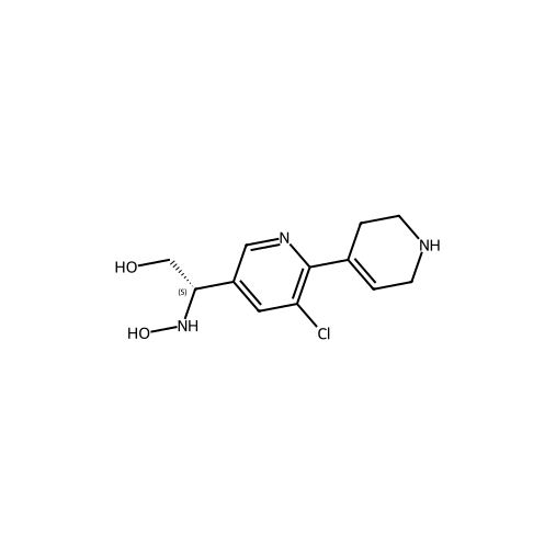 OC[C@@H](NO)c1cnc(C2=CCNCC2)c(Cl)c1